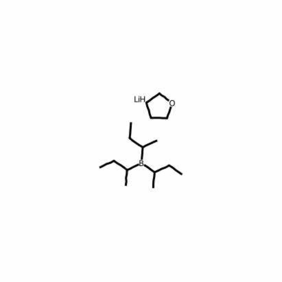 C1CCOC1.CCC(C)B(C(C)CC)C(C)CC.[LiH]